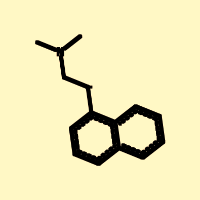 CN(C)C[CH]c1cccc2ccccc12